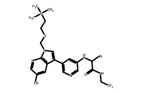 CC(C)C(Nc1cncc(-c2cn(COCC[Si](C)(C)C)c3ncc(C#N)cc23)c1)C(=O)NCC(F)(F)F